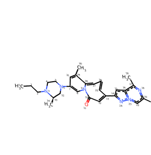 CCCN1CCN(C2=CN3C(=O)\C=C(c4cc5c(C)nc(C)cn5n4)/C=C/C=C/3C(C)=C2)C[C@H]1C